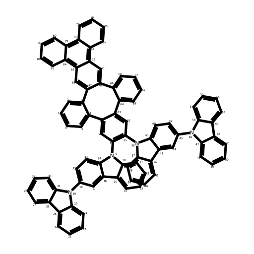 c1ccc2c(c1)-c1cc(-n3c4ccccc4c4cc(-n5c6ccccc6c6ccccc65)ccc43)c(-n3c4ccccc4c4cc(-n5c6ccccc6c6ccccc65)ccc43)cc1-c1ccccc1-c1cc3c4ccccc4c4ccccc4c3cc1-2